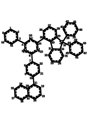 c1ccc(-c2nc(-c3ccc(-c4cccc5ccccc45)cc3)nc(-c3cccc4c3-c3ccccc3[Si]4(c3ccccc3)c3ccccc3)n2)cc1